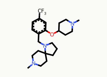 CN1CCC(Oc2cc(C(F)(F)F)ccc2CN2CCCC23CCN(C)CC3)CC1